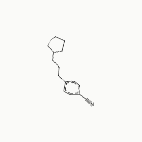 N#Cc1ccc(CCCC2CCCCC2)cc1